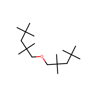 CC(C)(C)CC(C)(C)COCC(C)(C)CC(C)(C)C